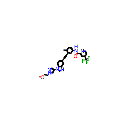 COCCn1cc(-n2cnc3cc(C#Cc4cc(NC(=O)c5cc(C(F)(F)F)ccn5)ccc4C)ccc32)cn1